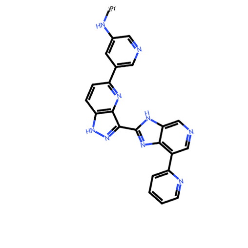 CC(C)Nc1cncc(-c2ccc3[nH]nc(-c4nc5c(-c6ccccn6)cncc5[nH]4)c3n2)c1